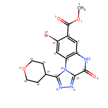 COC(=O)c1cc2[nH]c(=O)c3nnc(C4CCOCC4)n3c2cc1Br